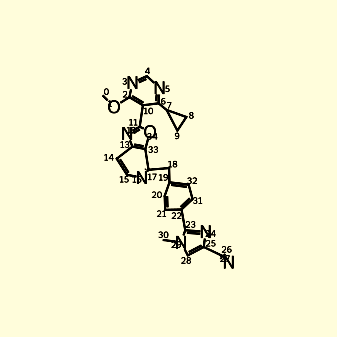 COc1ncnc(C2CC2)c1-c1nc2ccnc(Cc3ccc(-c4nc(C#N)cn4C)cc3)c2o1